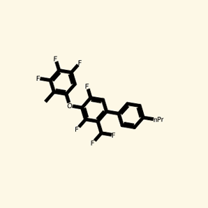 CCCc1ccc(-c2cc(F)c(Oc3cc(F)c(F)c(F)c3C)c(F)c2C(F)F)cc1